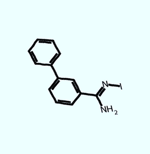 NC(=NI)c1cccc(-c2ccccc2)c1